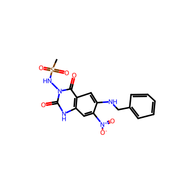 CS(=O)(=O)Nn1c(=O)[nH]c2cc([N+](=O)[O-])c(NCc3ccccc3)cc2c1=O